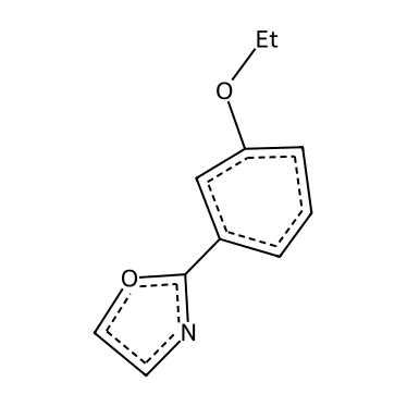 CCOc1cccc(-c2ncco2)c1